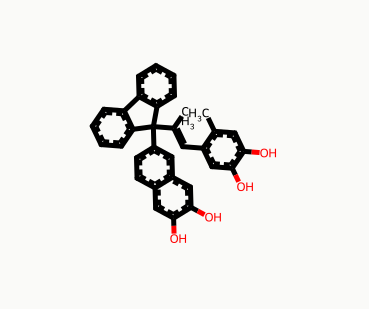 C/C(=C\c1cc(O)c(O)cc1C)C1(c2ccc3cc(O)c(O)cc3c2)c2ccccc2-c2ccccc21